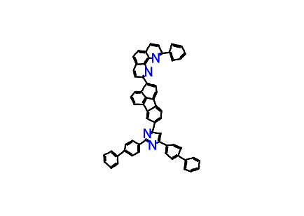 c1ccc(-c2ccc(-c3cc(-c4ccc5c(c4)-c4cccc6c(-c7ccc8ccc9ccc(-c%10ccccc%10)nc9c8n7)ccc-5c46)nc(-c4ccc(-c5ccccc5)cc4)n3)cc2)cc1